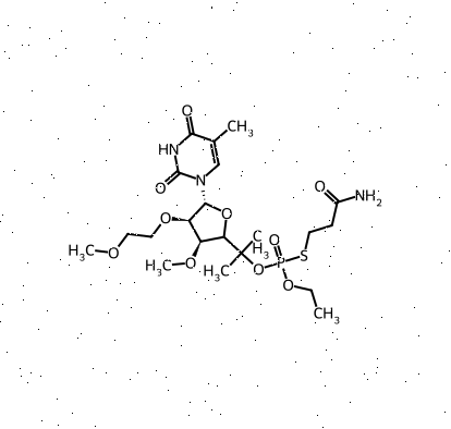 CCOP(=O)(OC(C)(C)C1O[C@@H](n2cc(C)c(=O)[nH]c2=O)[C@H](OCCOC)[C@@H]1OC)SCCC(N)=O